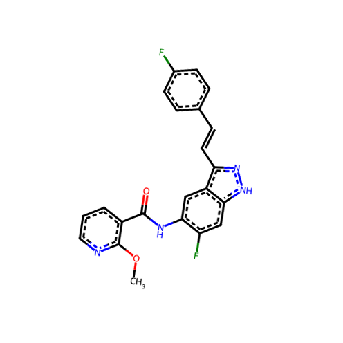 COc1ncccc1C(=O)Nc1cc2c(C=Cc3ccc(F)cc3)n[nH]c2cc1F